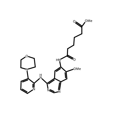 COC(=O)CCCCC(=O)Nc1cc2c(Nc3ncccc3N3CCOCC3)ncnc2cc1OC